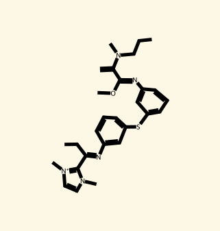 C=C(/C(=N/c1cccc(Sc2cccc(/N=C(\CC)c3n(C)cc[n+]3C)c2)c1)OC)N(C)CCC